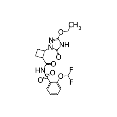 CCOc1nn(C2CCC2C(=O)NS(=O)(=O)c2ccccc2OC(F)F)c(=O)[nH]1